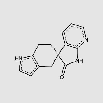 O=C1Nc2ncccc2[C@@]12CCc1[nH]ccc1C2